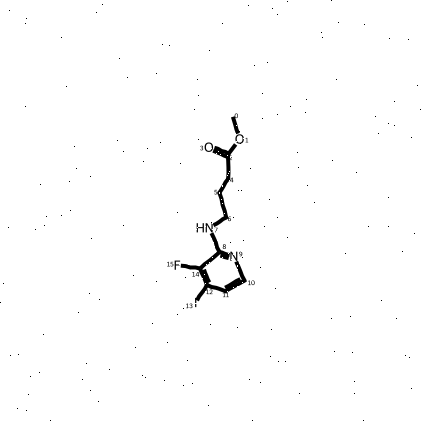 COC(=O)CCCNc1nccc(I)c1F